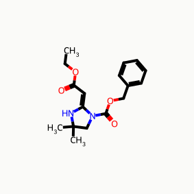 CCOC(=O)C=C1NC(C)(C)CN1C(=O)OCc1ccccc1